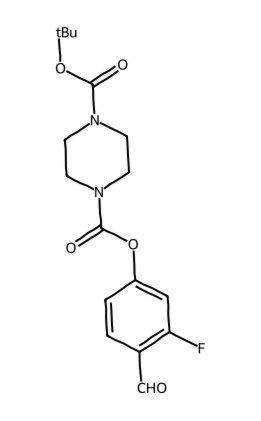 CC(C)(C)OC(=O)N1CCN(C(=O)Oc2ccc(C=O)c(F)c2)CC1